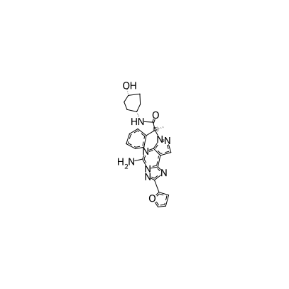 C[C@@](C(=O)N[C@H]1CC[C@@H](O)CC1)(c1ccccc1)n1ncc2c1nc(N)n1nc(-c3ccco3)nc21